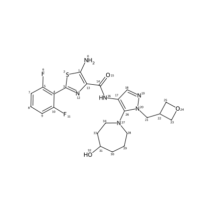 Nc1sc(-c2c(F)cccc2F)nc1C(=O)Nc1cnn(CC2COC2)c1N1CCCC(O)CC1